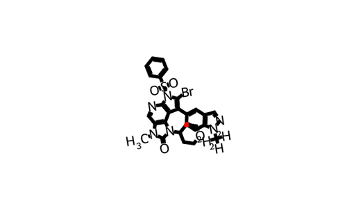 [2H]C([2H])([2H])n1ncc2cc(-c3c(Br)n(S(=O)(=O)c4ccccc4)c4ncc5c(c34)n(C3CCOCC3)c(=O)n5C)ccc21